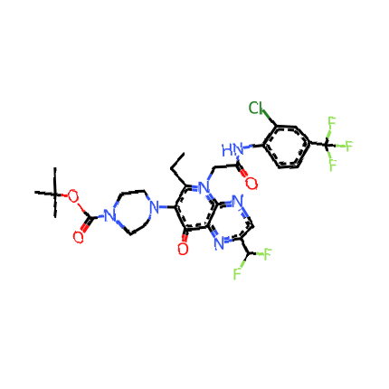 CCc1c(N2CCN(C(=O)OC(C)(C)C)CC2)c(=O)c2nc(C(F)F)cnc2n1CC(=O)Nc1ccc(C(F)(F)F)cc1Cl